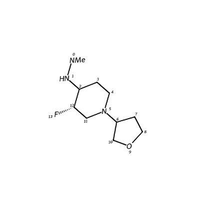 CNNC1CCN(C2CCOC2)C[C@@H]1F